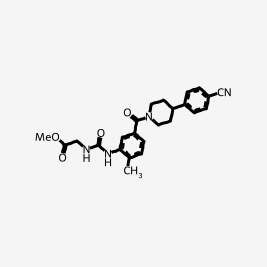 COC(=O)CNC(=O)Nc1cc(C(=O)N2CCC(c3ccc(C#N)cc3)CC2)ccc1C